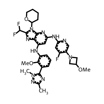 COc1c(Nc2cc(Nc3cc(F)c(N4CC(OC)C4)cn3)nc3c2nc(C(F)F)n3C2CCCCO2)cccc1-c1nc(C)nn1C